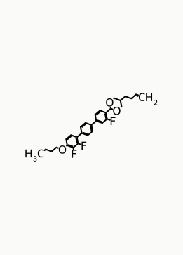 C=CCCC1COC(c2ccc(-c3ccc(-c4ccc(OCCCC)c(F)c4F)cc3)cc2F)OC1